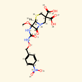 COC1(NC(=O)NOCc2ccc([N+](=O)[O-])cc2)C(=O)N2CC(C(=O)O)(C(=O)O)CS[C@@H]21